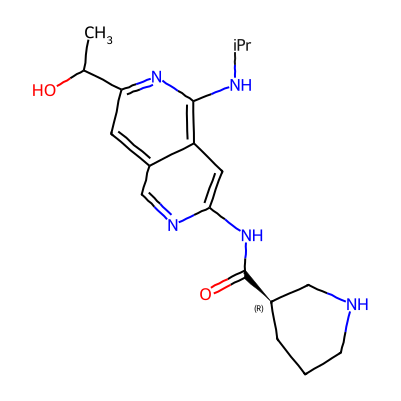 CC(C)Nc1nc(C(C)O)cc2cnc(NC(=O)[C@@H]3CCCNC3)cc12